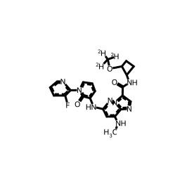 [2H]C([2H])([2H])OC1CCC1NC(=O)c1cnc2c(NC)cc(Nc3cccn(-c4ncccc4F)c3=O)nn12